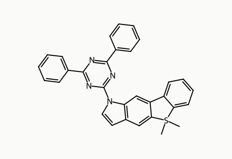 CS1(C)c2ccccc2-c2cc3c(ccn3-c3nc(-c4ccccc4)nc(-c4ccccc4)n3)cc21